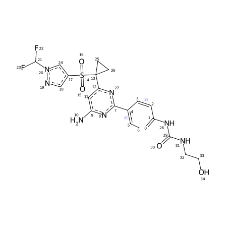 C=C(/C=C\C(=C/C)c1nc(N)cc(C2(S(=O)(=O)c3cnn(C(F)F)c3)CC2)n1)NC(=O)NCCO